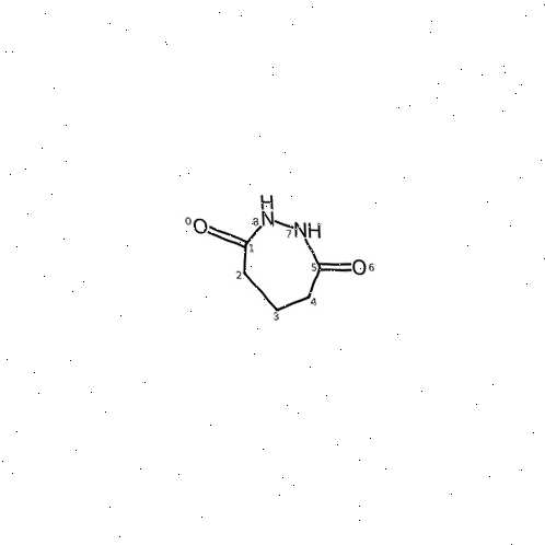 O=C1CCCC(=O)NN1